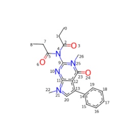 CCC(=O)N(C(=O)CC)c1nc2c(c(-c3ccccc3)cn2C)c(=O)n1C